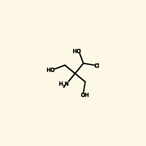 NC(CO)(CO)C(O)Cl